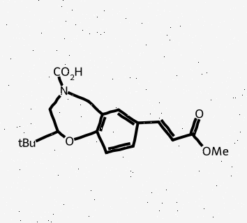 COC(=O)C=Cc1ccc2c(c1)CN(C(=O)O)CC(C(C)(C)C)O2